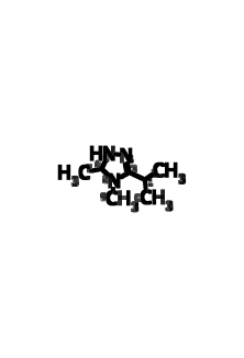 CC(C)C1=NNC(C)N1C